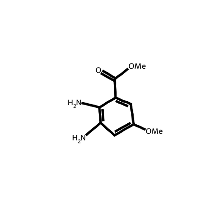 COC(=O)c1cc(OC)cc(N)c1N